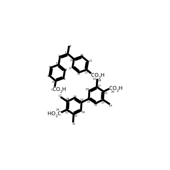 CC(=Cc1ccc(C(=O)O)cc1)c1ccc(C(=O)O)cc1.Cc1cc(-c2cc(C)c(C(=O)O)c(C)c2)cc(C)c1C(=O)O